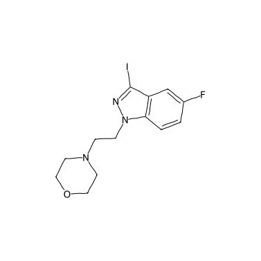 Fc1ccc2c(c1)c(I)nn2CCN1CCOCC1